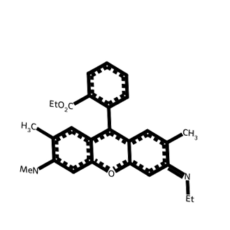 CC/N=c1\cc2oc3cc(NC)c(C)cc3c(-c3ccccc3C(=O)OCC)c-2cc1C